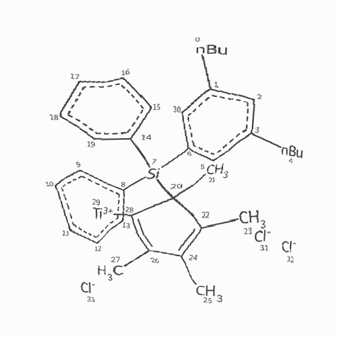 CCCCc1cc(CCCC)cc([Si](c2ccccc2)(c2ccccc2)C2(C)C(C)=C(C)C(C)=[C]2[Ti+3])c1.[Cl-].[Cl-].[Cl-]